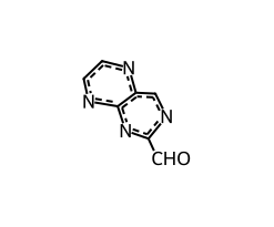 O=Cc1ncc2nccnc2n1